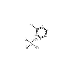 CC[Si](C)(C)Cl.Fc1ccccc1